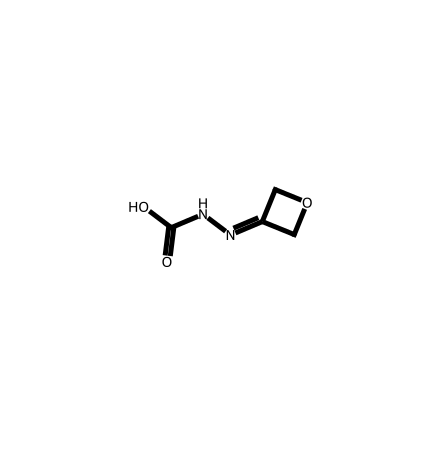 O=C(O)NN=C1COC1